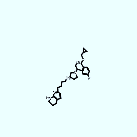 OCC(c1cc(F)ccc1COCC1CC1)N1CC[C@@H](OCCCCc2ccc3c(n2)NCCC3)C1